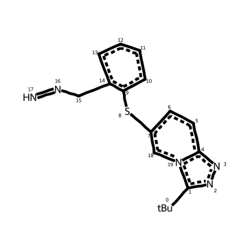 CC(C)(C)c1nnc2ccc(Sc3ccccc3CN=N)cn12